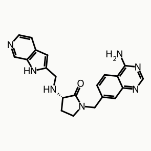 Nc1ncnc2cc(CN3CC[C@H](NCc4cc5ccncc5[nH]4)C3=O)ccc12